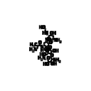 C[C@@H](CN)C(=O)N[C@@H]1C[C@H](N)[C@@H](O[C@H]2O[C@H](CNCCO)[C@@H](O)CC2N)[C@H](O[C@@H]2O[C@H](CO)[C@@H](O[C@H]3O[C@@H](CN)[C@@H](O)[C@H](O)C3N)[C@H]2O)[C@H]1O